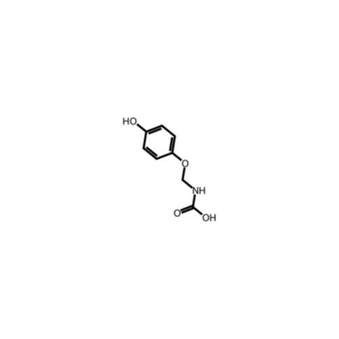 O=C(O)NCOc1ccc(O)cc1